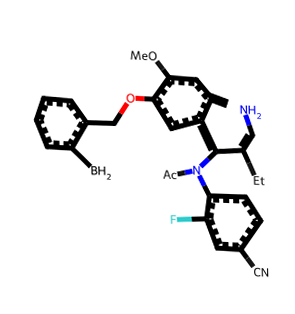 Bc1ccccc1COc1c/c(=C(/C(=C\N)CC)N(C(C)=O)c2ccc(C#N)cc2F)c(=C)cc1OC